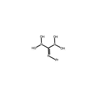 CC(C)N=C(N(O)O)N(O)O